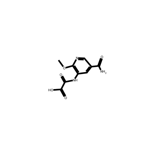 COc1ncc(C(N)=O)cc1NC(=O)C(=O)O